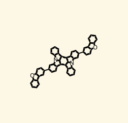 c1ccc2c(c1)oc1ccc(-c3ccc4c5c6c7ccccc7n7c8cc(-c9ccc%10oc%11ccccc%11c%10c9)ccc8c(c8c9ccccc9n(c4c3)c85)c67)cc12